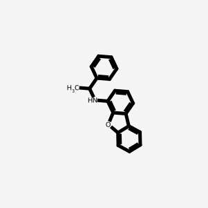 CC(Nc1cccc2c1oc1ccccc12)c1ccccc1